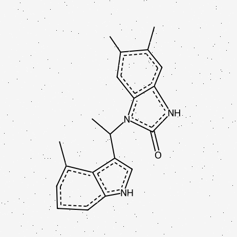 Cc1cc2[nH]c(=O)n(C(C)c3c[nH]c4cccc(C)c34)c2cc1C